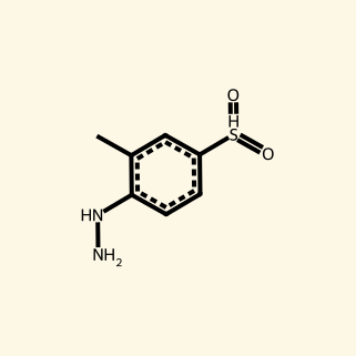 Cc1cc([SH](=O)=O)ccc1NN